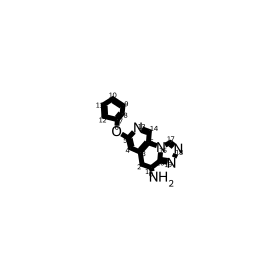 NC1Cc2cc(Oc3ccccc3)ncc2-n2cnnc21